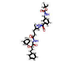 CC(CCC(=O)NCC(=O)C(CCc1ccccc1)Oc1ccccc1)CNC(=O)c1cccc(CNC(=O)OC(C)(C)C)c1